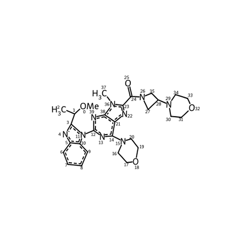 COC(C)c1nc2ccccc2n1-c1nc(N2CCOCC2)c2nc(C(=O)N3CC(N4CCOCC4)C3)n(C)c2n1